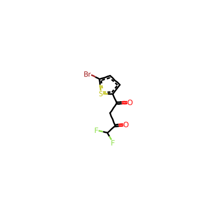 O=C(CC(=O)C(F)F)c1ccc(Br)s1